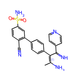 C/C(N)=C(/C(=N)c1ccncc1)c1ccc(-c2cc(S(N)(=O)=O)ccc2C#N)cc1